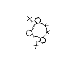 CC(C)(C)Sc1cccc2c1/C=N/C1CCCCC1/N=C/c1c(SC(C)(C)C)cccc1SC(C)(C)CC(C)(C)S2